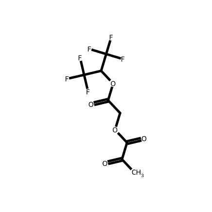 CC(=O)C(=O)OCC(=O)OC(C(F)(F)F)C(F)(F)F